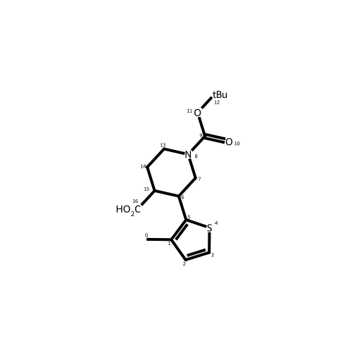 Cc1ccsc1C1CN(C(=O)OC(C)(C)C)CCC1C(=O)O